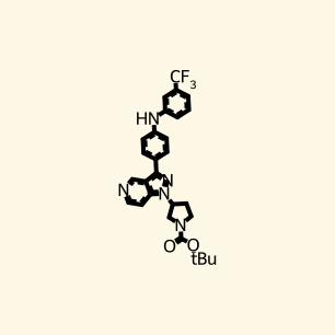 CC(C)(C)OC(=O)N1CCC(n2nc(-c3ccc(Nc4cccc(C(F)(F)F)c4)cc3)c3cnccc32)C1